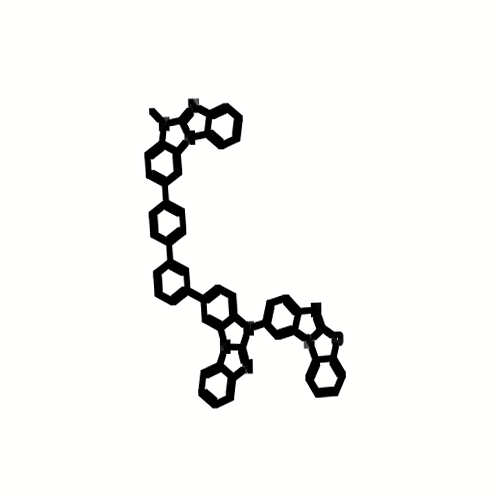 Cn1c2ccc(-c3ccc(-c4cccc(-c5ccc6c(c5)n5c7ccccc7nc5n6-c5ccc6nc7oc8ccccc8n7c6c5)c4)cc3)cc2n2c3ccccc3nc12